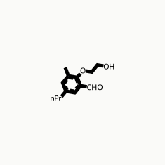 CCCc1cc(C)c(OCCO)c(C=O)c1